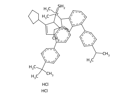 CCC1=Cc2c(-c3ccc(C(C)C)cc3)cccc2[CH]1[Zr]([CH3])([CH3])(=[SiH2])[CH]1C(C2CCCC2)=Cc2c(-c3ccc(C(C)(C)C)cc3)cccc21.Cl.Cl